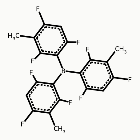 Cc1c(F)cc(F)c(B(c2c(F)cc(F)c(C)c2F)c2c(F)cc(F)c(C)c2F)c1F